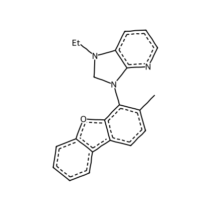 CCN1CN(c2c(C)ccc3c2oc2ccccc23)c2ncccc21